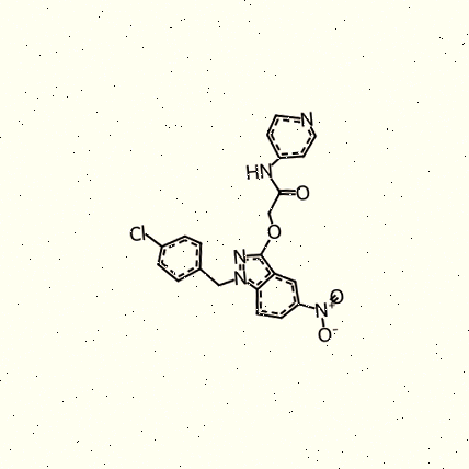 O=C(COc1nn(Cc2ccc(Cl)cc2)c2ccc([N+](=O)[O-])cc12)Nc1ccncc1